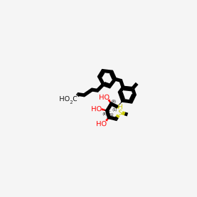 Cc1ccc([C@H]2[C@H](O)[C@H](O)[C@H](O)C[SH]2C)cc1Cc1cccc(CCCCC(=O)O)c1